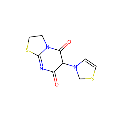 O=C1N=C2SCCN2C(=O)C1N1C=CSC1